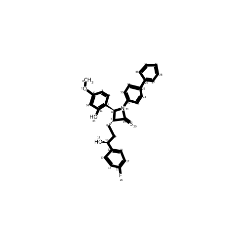 COc1ccc([C@@H]2[C@@H](CC[C@H](O)c3ccc(F)cc3)C(=S)N2c2ccc(-c3ccccc3)cc2)c(O)c1